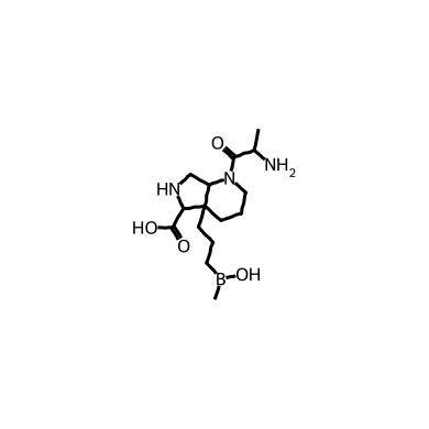 CB(O)CCCC12CCCN(C(=O)C(C)N)C1CNC2C(=O)O